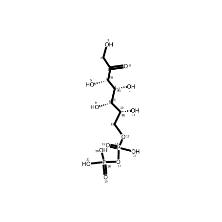 O=C(CO)[C@@H](O)[C@H](O)[C@@H](O)[C@H](O)COP(=O)(O)OP(=O)(O)O